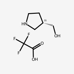 O=C(O)C(F)(F)F.OC[C@H]1CCNC1